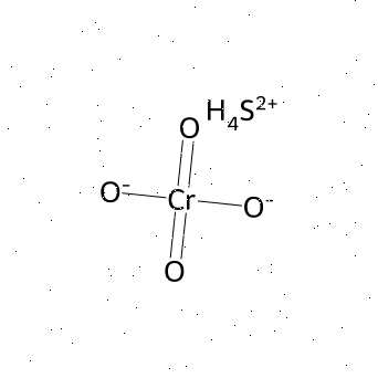 [O]=[Cr](=[O])([O-])[O-].[SH4+2]